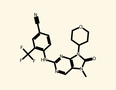 Cn1c(=O)n(C2CCOCC2)c2nc(Nc3ccc(C#N)cc3C(F)(F)F)ncc21